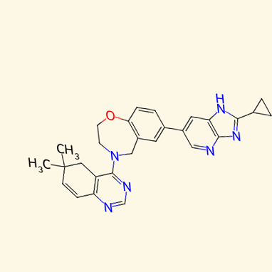 CC1(C)C=Cc2ncnc(N3CCOc4ccc(-c5cnc6nc(C7CC7)[nH]c6c5)cc4C3)c2C1